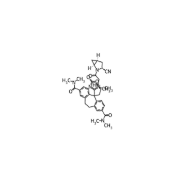 C[C@H](CC1(c2nc(=O)on2C)c2ccc(C(=O)N(C)C)cc2CCc2cc(C(=O)N(C)C)ccc21)NCC(=O)N1[C@H](C#N)C[C@@H]2C[C@@H]21